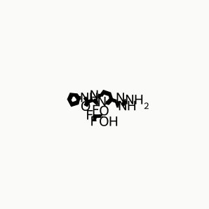 Nc1nc(-c2ccc3nc(C(=O)Nc4ccccc4)cn3c2)c[nH]1.O=C(O)C(F)(F)F